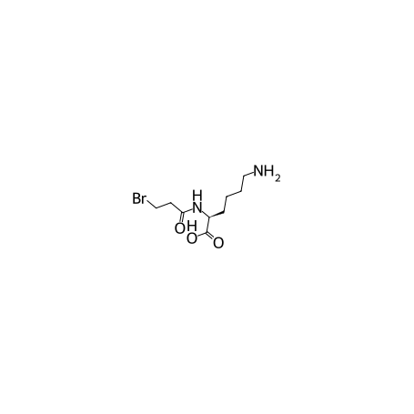 NCCCC[C@H](NC(=O)CCBr)C(=O)O